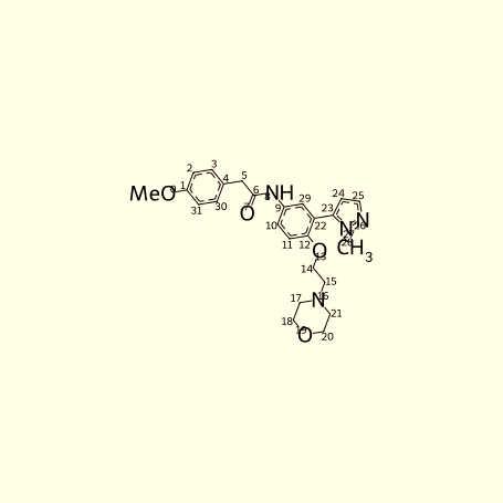 COc1ccc(CC(=O)Nc2ccc(OCCN3CCOCC3)c(-c3ccnn3C)c2)cc1